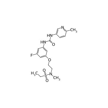 CCS(=O)(=O)N(C)CCOc1cc(F)cc(NC(=O)Nc2ccc(C)nc2)c1